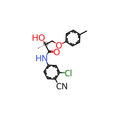 Cc1ccc(OC[C@](C)(O)C(=O)Nc2ccc(C#N)c(Cl)c2)cc1